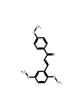 COc1ccc(C(=O)/C=C/c2cc(OC)ccc2OC)cc1